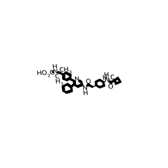 CC1(C(=O)N[C@H]2CC[C@H](CC(=O)Nc3cnc(-c4ccc(C(C)(C)NC(=O)O)cc4)c(-c4ccccc4)c3)CC2)CCC1